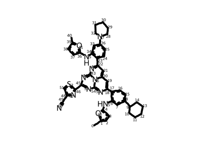 Cc1ccc(Nc2cc(C3CCCCC3)ccc2C2=CC3=CC(c4ccc(N5CCCCC5)cc4Nc4ccc(C)o4)=NC4=NC(c5nc(C#N)cs5)=NC(=N2)N34)o1